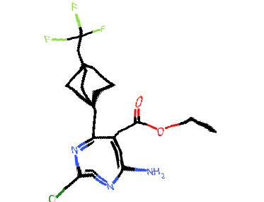 CCOC(=O)c1c(N)nc(Cl)nc1C12CC(C(F)(F)F)(C1)C2